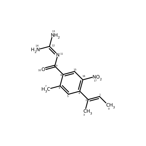 CC=C(C)c1cc(C)c(C(=O)N=C(N)N)cc1[N+](=O)[O-]